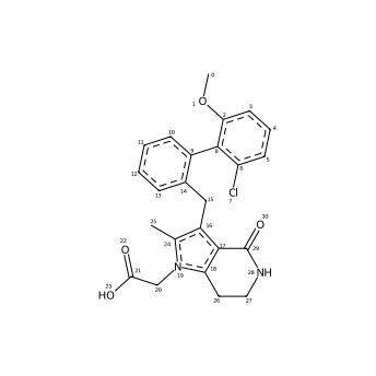 COc1cccc(Cl)c1-c1ccccc1Cc1c2c(n(CC(=O)O)c1C)CCNC2=O